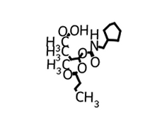 CC(=O)O.CCCC(=O)OC(OC(=O)NCC1CCCCC1)C(C)C